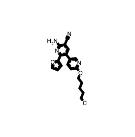 N#Cc1cc(-c2ccc(OCCCCCCl)nc2)c(-c2ccco2)nc1N